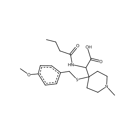 CCCC(=O)NC(C(=O)O)C1(SCc2ccc(OC)cc2)CCN(C)CC1